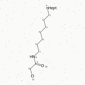 CCCCCCCCCCCCCCNC(=O)CCl